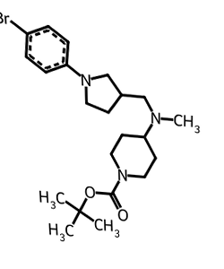 CN(CC1CCN(c2ccc(Br)cc2)C1)C1CCN(C(=O)OC(C)(C)C)CC1